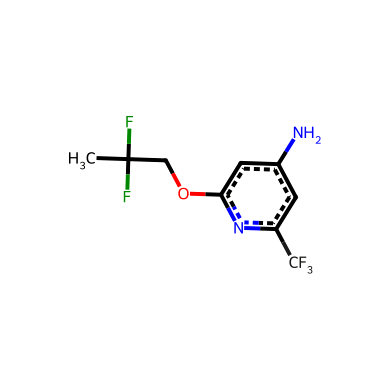 CC(F)(F)COc1cc(N)cc(C(F)(F)F)n1